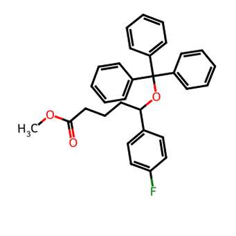 COC(=O)CCCC(OC(c1ccccc1)(c1ccccc1)c1ccccc1)c1ccc(F)cc1